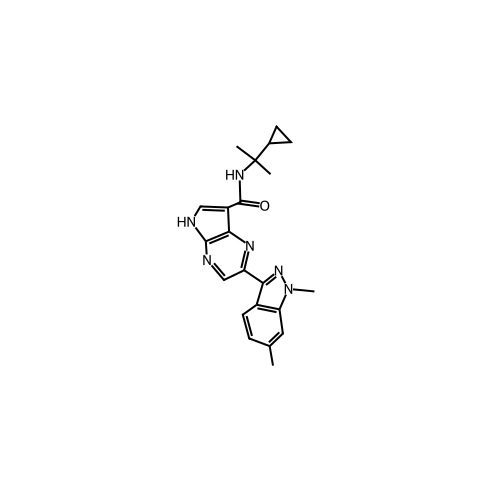 Cc1ccc2c(-c3cnc4[nH]cc(C(=O)NC(C)(C)C5CC5)c4n3)nn(C)c2c1